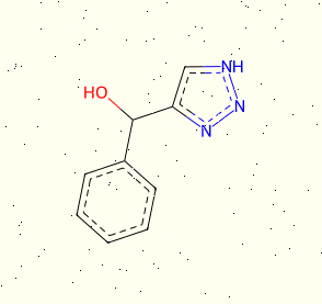 OC(c1ccccc1)c1c[nH]nn1